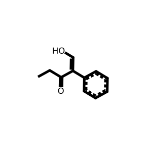 CCC(=O)C(=CO)c1ccccc1